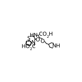 O=C(O)CN1C(=O)C(N[C@H](CCOCCC2CCNCC2)C(=O)O)CSc2ccccc21